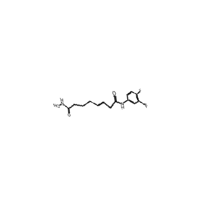 O=C(CCCCCCC(=O)Nc1ccc(F)c(F)c1)NO